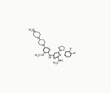 CNc1nc(Nc2ccc(N3CCC(N4CCN(C)CC4)CC3)cc2OC)cc(N2OCC[C@@H]2c2cccc(F)c2F)n1